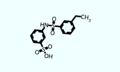 CCc1cccc(S(=O)(=O)Nc2cccc(S(=O)(=O)O)c2)c1